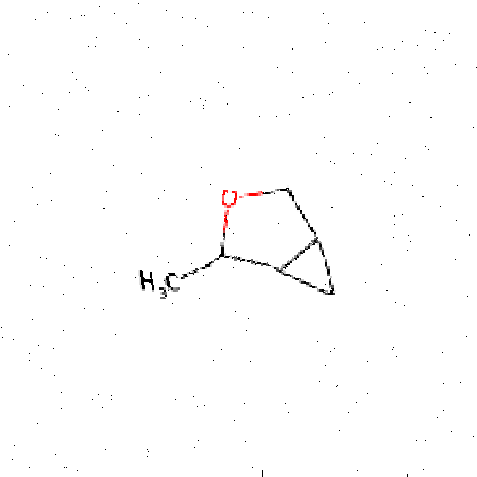 CC1OCC2CC21